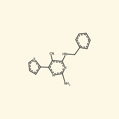 N#Cc1c(NCc2ccccc2)nc(N)nc1-c1cccs1